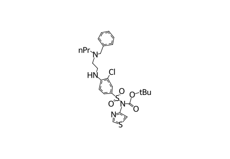 CCCN(CCNc1ccc(S(=O)(=O)N(C(=O)OC(C)(C)C)c2cscn2)cc1Cl)Cc1ccccc1